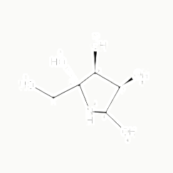 OC[C@]1(O)NC(O)[C@H](O)[C@@H]1O